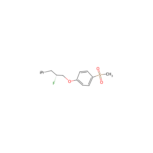 CC(C)C[C@@H](F)COc1ccc(S(C)(=O)=O)cc1